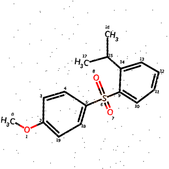 COc1ccc(S(=O)(=O)c2ccccc2C(C)C)cc1